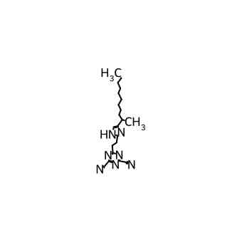 CCCCCCCCCC(C)c1c[nH]c(CCc2nc(C#N)nc(C#N)n2)n1